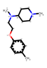 Cc1ccc(OCCN(C)C2CCN(C)CC2)cc1